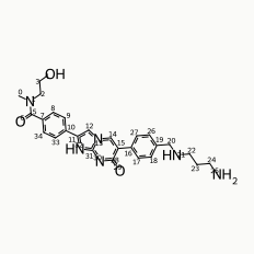 CN(CCO)C(=O)c1ccc(-c2cn3cc(-c4ccc(CNCCCN)cc4)c(=O)nc3[nH]2)cc1